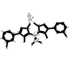 CC1=[C]([Hf+2]([C]2=C(C)C(c3cccc(C)c3)=CC2C)=[Ge]([CH3])[CH3])C(C)C=C1c1cccc(C)c1.[Cl-].[Cl-]